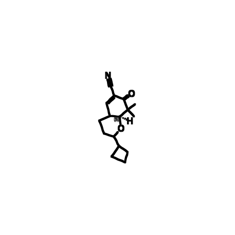 CC1(C)C(=O)C(C#N)=CC2CCC(C3CCC3)O[C@@H]21